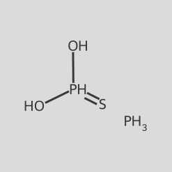 O[PH](O)=S.P